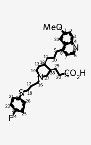 COc1ccc2nccc(CCC[C@@H]3CCN(CCCSc4ccc(F)cc4)C[C@@H]3CCC(=O)O)c2c1